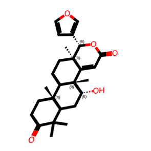 CC1(C)C(=O)CC[C@@]2(C)C1C[C@@H](O)[C@@]1(C)C3=CC(=O)O[C@@H](c4ccoc4)[C@]3(C)CCC21